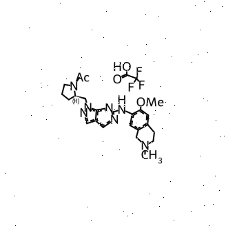 COc1cc2c(cc1Nc1ncc3cnn(C[C@H]4CCCN4C(C)=O)c3n1)CN(C)CC2.O=C(O)C(F)(F)F